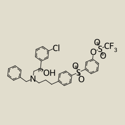 O=S(=O)(c1ccc(CCCN(Cc2ccccc2)C[C@H](O)c2cccc(Cl)c2)cc1)c1cccc(OS(=O)(=O)C(F)(F)F)c1